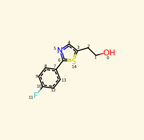 OCCc1cnc(-c2ccc(F)cc2)s1